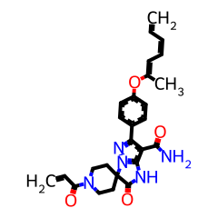 C=C/C=C\C=C(/C)Oc1ccc(-c2nn3c(c2C(N)=O)NC(=O)C32CCN(C(=O)C=C)CC2)cc1